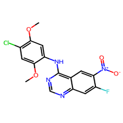 COc1cc(Nc2ncnc3cc(F)c([N+](=O)[O-])cc23)c(OC)cc1Cl